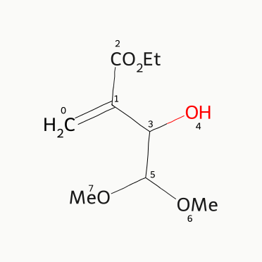 C=C(C(=O)OCC)C(O)C(OC)OC